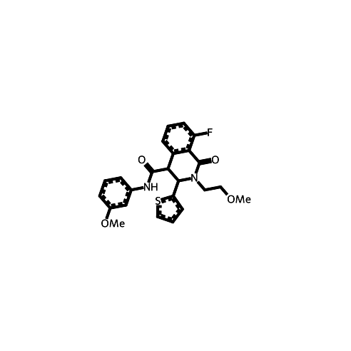 COCCN1C(=O)c2c(F)cccc2C(C(=O)Nc2cccc(OC)c2)C1c1cccs1